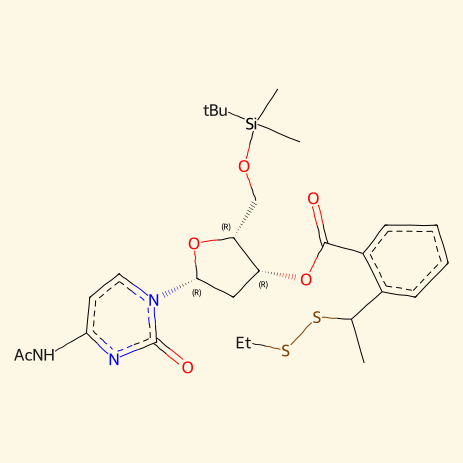 CCSSC(C)c1ccccc1C(=O)O[C@@H]1C[C@H](n2ccc(NC(C)=O)nc2=O)O[C@@H]1CO[Si](C)(C)C(C)(C)C